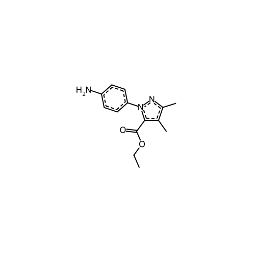 CCOC(=O)c1c(C)c(C)nn1-c1ccc(N)cc1